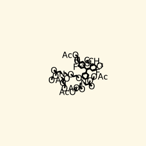 CC(=O)OCOC(=O)CN(CCOCCOc1cc(C2=C3C=C(F)C(=O)C=C3[Si](C)(C)c3cc(OCOC(C)=O)c(F)cc32)ccc1N(CC(=O)OCOC(C)=O)CC(=O)OCOC(C)=O)CC(=O)OCOC(C)=O